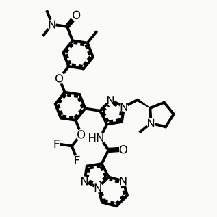 Cc1ccc(Oc2ccc(OC(F)F)c(-c3nn(C[C@H]4CCCN4C)cc3NC(=O)c3cnn4cccnc34)c2)cc1C(=O)N(C)C